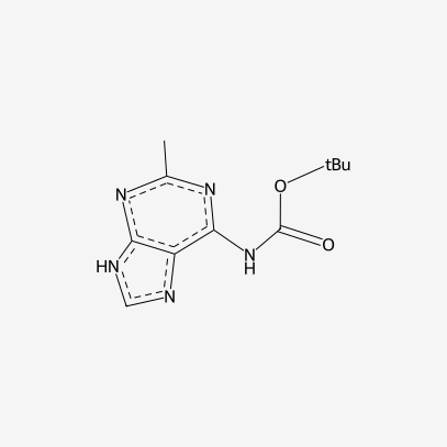 Cc1nc(NC(=O)OC(C)(C)C)c2nc[nH]c2n1